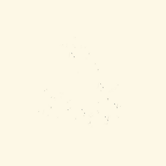 CS(=O)(=O)Nc1ccc(CNC(=O)c2cc(C(=O)NCc3ccc(F)c(Cl)c3)ncn2)cc1